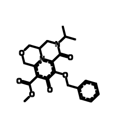 COC(=O)c1c2n3c(c(OCc4ccccc4)c1=O)C(=O)N(C(C)C)CC3COC2